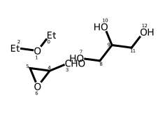 CCOCC.O=CC1CO1.OCC(O)CO